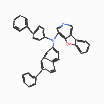 c1ccc(-c2ccc(N(c3ccc4ccc(-c5ccccc5)cc4c3)c3cncc4c3oc3ccccc34)cc2)cc1